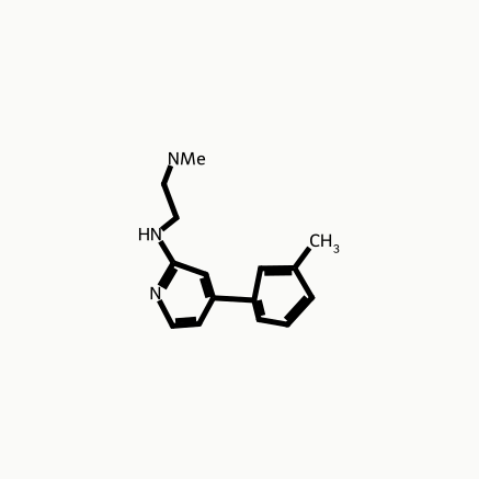 CNCCNc1cc(-c2cccc(C)c2)ccn1